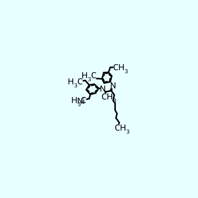 CCCCCCCCC(=Nc1cc(CC)cc(CC)c1)C(C)=Nc1cc(CC)cc(CC)c1.[Ni]